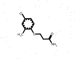 Cc1cc(Cl)ccc1OCCC(N)=O